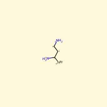 [CH2]CCC(N)CCN